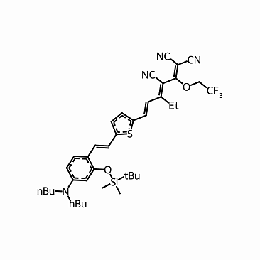 CCCCN(CCCC)c1ccc(/C=C/c2ccc(/C=C/C(CC)=C(\C#N)C(OCC(F)(F)F)=C(C#N)C#N)s2)c(O[Si](C)(C)C(C)(C)C)c1